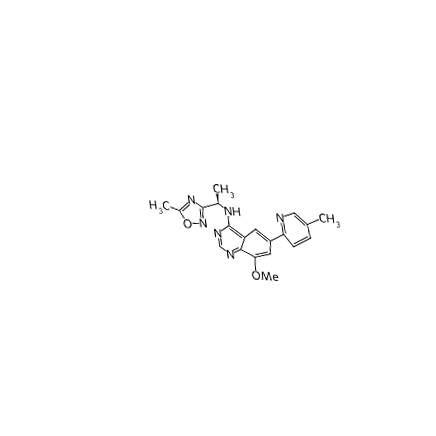 COc1cc(-c2ccc(C)cn2)cc2c(N[C@H](C)c3noc(C)n3)ncnc12